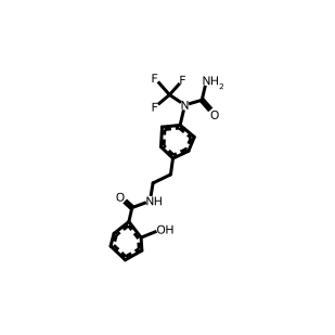 NC(=O)N(c1ccc(CCNC(=O)c2ccccc2O)cc1)C(F)(F)F